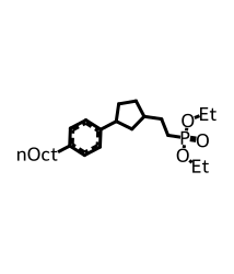 CCCCCCCCc1ccc(C2CCC(CCP(=O)(OCC)OCC)C2)cc1